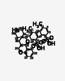 Cc1ccc(S(=O)(=O)O)cc1.Cc1ccc(S(=O)(=O)O)cc1.c1ccc2c(c1)OCC1=C2OCC2(CCNCC2)C1